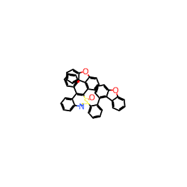 O=S1(c2ccccc2-c2cccc3oc4ccccc4c23)=Nc2ccccc2C(c2ccccc2)=C1c1cccc2oc3ccccc3c12